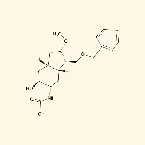 CO[C@H]1C[C@H]2C[C@H](O)[C@@H](NC(=O)O)C[C@H]2[C@@H]1COCc1ccccc1